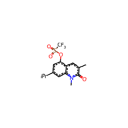 Cc1cc2c(OS(=O)(=O)C(F)(F)F)cc(C(C)C)cc2n(C)c1=O